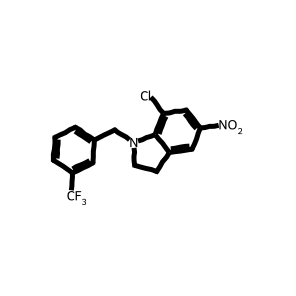 O=[N+]([O-])c1cc(Cl)c2c(c1)CCN2Cc1cccc(C(F)(F)F)c1